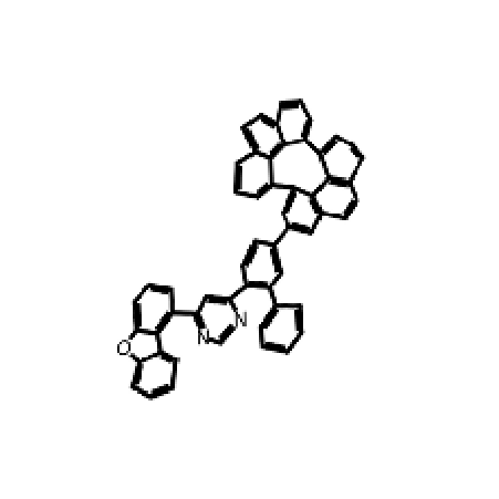 c1ccc(-c2cc(-c3cc4ccc5cccc6c7cccc8ccc9cccc(c(c3)c4c56)c9c87)ccc2-c2cc(-c3cccc4oc5ccccc5c34)ncn2)cc1